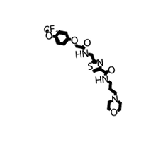 O=C(COc1ccc(OC(F)(F)F)cc1)NCc1nc(C(=O)NCCCN2CCOCC2)cs1